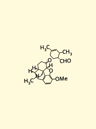 CC1=CC(C)C(C=O)CC1.COc1ccc2c3c1O[C@H]1C(=O)CC[C@H]4[C@@H](C2)N(C)CC[C@]314